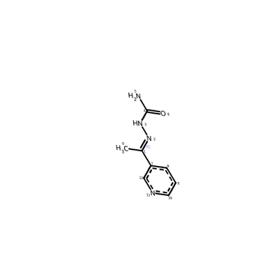 C/C(=N\NC(N)=O)c1cccnc1